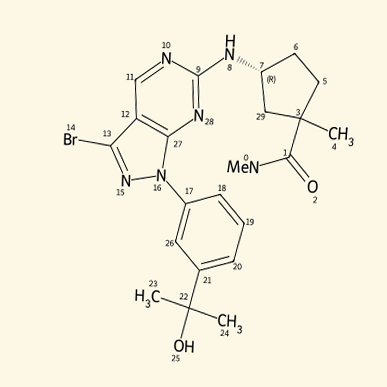 CNC(=O)C1(C)CC[C@@H](Nc2ncc3c(Br)nn(-c4cccc(C(C)(C)O)c4)c3n2)C1